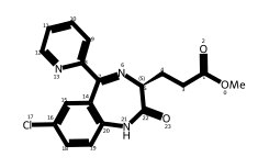 COC(=O)CC[C@@H]1N=C(c2ccccn2)c2cc(Cl)ccc2NC1=O